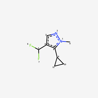 Cn1n[c]c(C(F)F)c1C1CC1